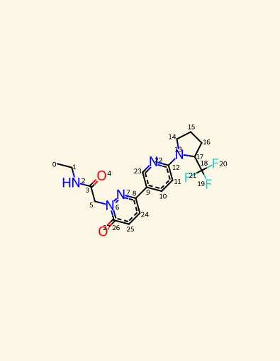 CCNC(=O)Cn1nc(-c2ccc(N3CCCC3C(F)(F)F)nc2)ccc1=O